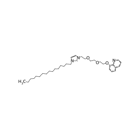 CCCCCCCCCCCCCCCCN1[C]N(CCOCCOCCOc2cccc3cccnc23)C=C1